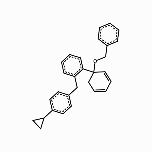 C1=CCC(OCc2ccccc2)(c2ccccc2Cc2ccc(C3CC3)cc2)C=C1